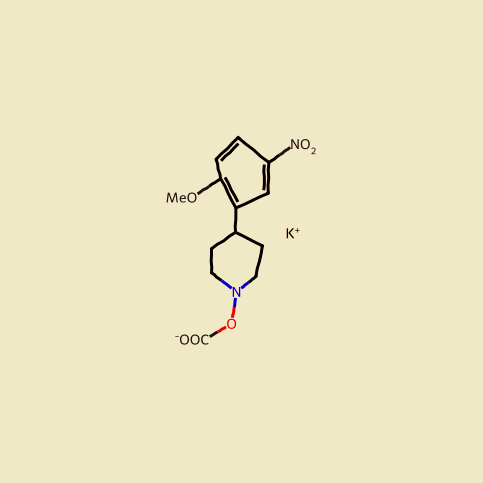 COc1ccc([N+](=O)[O-])cc1C1CCN(OC(=O)[O-])CC1.[K+]